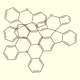 c1ccc(-c2ccccc2N(c2ccccc2-c2ccc3c(c2)-c2ccccc2C32c3ccccc3Oc3ccccc32)c2cccc3c2-c2ccccc2C32c3ccccc3Oc3ccccc32)cc1